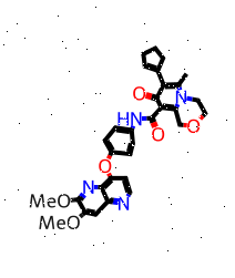 COc1cc2nccc(Oc3ccc(NC(=O)c4c5n(c(C)c(C6=CCCC6)c4=O)CCOC5)cc3)c2nc1OC